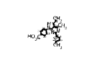 C=CCc1c(C)nc(-c2ccc(C)s2)nc1Nc1ccc(C(=O)O)cc1